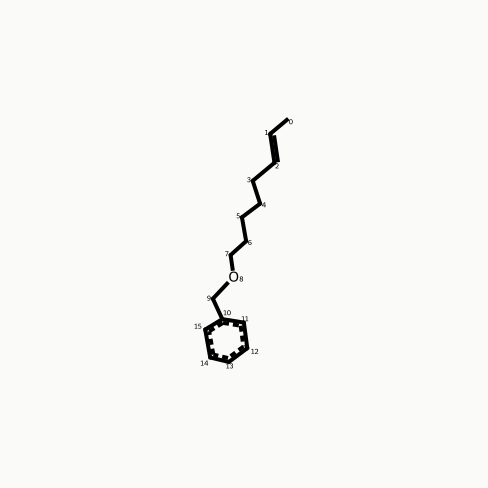 C/C=C/CCCCCOCc1ccccc1